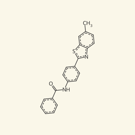 Cc1ccc2nc(-c3ccc(NC(=O)c4ccccc4)cc3)sc2c1